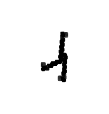 CC(=O)SCCCCCCC1CCC(CCCCCCSC(C)=O)C(CCCCCCSC(C)=O)C1